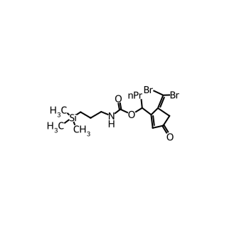 CCCC(OC(=O)NCCC[Si](C)(C)C)C1=CC(=O)CC1=C(Br)Br